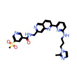 Cc1nccn1CCCNc1cccc(-c2ccc3cnc(CNC(=O)c4cncc(S(C)(=O)=O)c4)cc3n2)n1